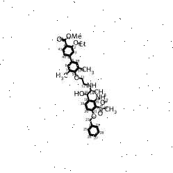 CCOc1cc(-c2cc(C)c(OCCN[C@@H](C)[C@H](O)c3ccc(OCc4ccccc4)c(S(C)(=O)=O)c3N)c(C)c2)ccc1C(=O)OC